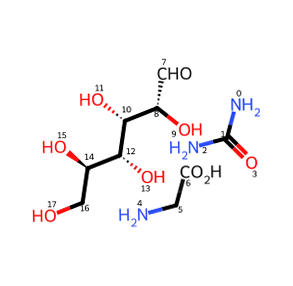 NC(N)=O.NCC(=O)O.O=C[C@H](O)[C@@H](O)[C@H](O)[C@H](O)CO